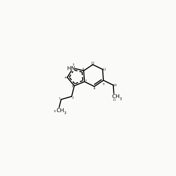 CCCc1c[nH]c2c1C=C(CC)CC2